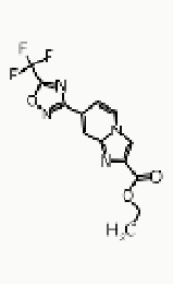 CCOC(=O)c1cn2ccc(-c3noc(C(F)(F)F)n3)cc2n1